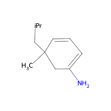 CC(C)CC1(C)C=CC=C(N)C1